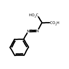 O=C(O)C(N=Nc1ccccc1)C(=O)O